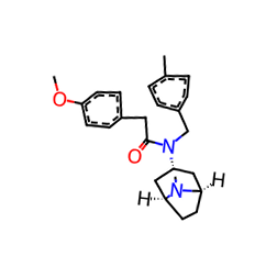 COc1ccc(CC(=O)N(Cc2ccc(C)cc2)[C@@H]2C[C@H]3CC[C@@H](C2)N3C)cc1